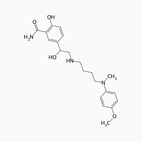 COc1ccc(N(C)CCCCNCC(O)c2ccc(O)c(C(N)=O)c2)cc1